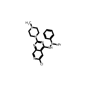 CCCN(Nc1nc(N2CCN(C)CC2)nc2cnc(Cl)cc12)c1ccccc1